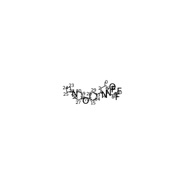 CCC/C(=N\N(C=O)CC(F)(F)F)c1ccc(OC2CCN(C3CCC3)CC2)cc1